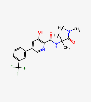 CN(C)C(=O)C(C)(C)NC(=O)c1ncc(-c2cccc(C(F)(F)F)c2)cc1O